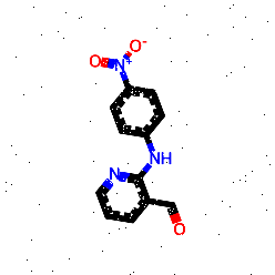 O=Cc1cccnc1Nc1ccc([N+](=O)[O-])cc1